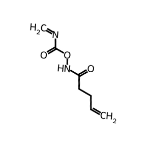 C=CCCC(=O)NOC(=O)N=C